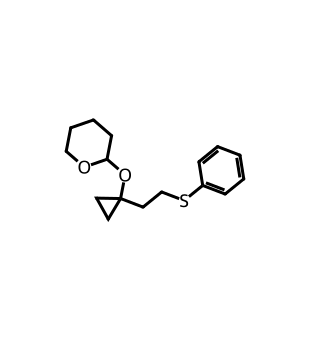 c1ccc(SCCC2(OC3CCCCO3)CC2)cc1